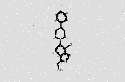 FC(F)(F)Cc1nnc2c(Cl)c(N3CCC(c4ccccc4)CC3)cnn12